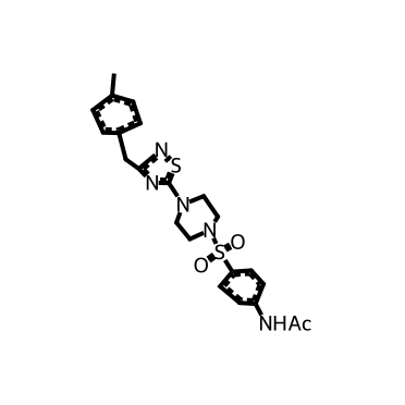 CC(=O)Nc1ccc(S(=O)(=O)N2CCN(c3nc(Cc4ccc(C)cc4)ns3)CC2)cc1